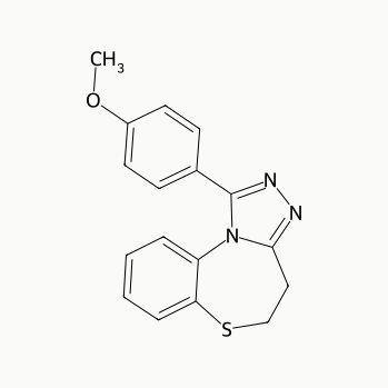 COc1ccc(-c2nnc3n2-c2ccccc2SCC3)cc1